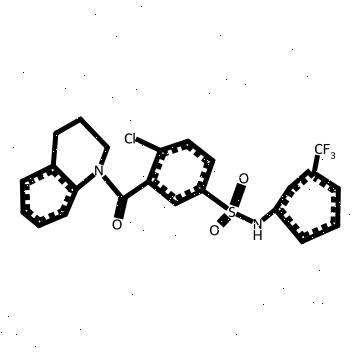 O=C(c1cc(S(=O)(=O)Nc2cccc(C(F)(F)F)c2)ccc1Cl)N1CCCc2ccccc21